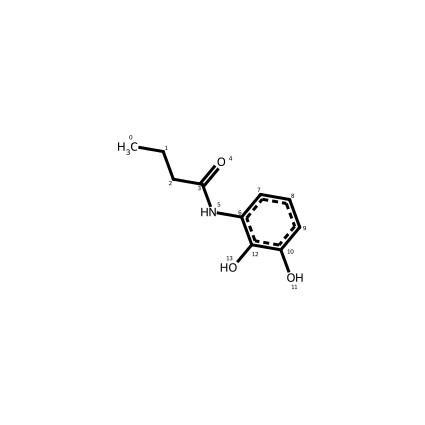 CCCC(=O)Nc1cccc(O)c1O